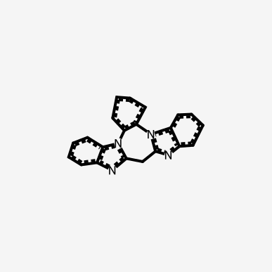 c1ccc2c(c1)-n1c(nc3ccccc31)Cc1nc3ccccc3n1-2